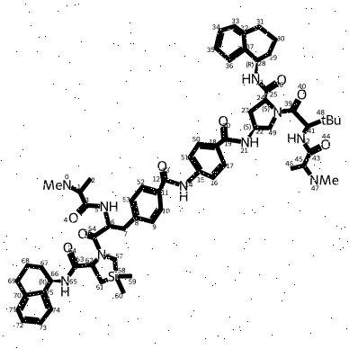 CNC(C)C(=O)NC(Cc1ccc(C(=O)Nc2ccc(C(=O)N[C@H]3C[C@@H](C(=O)N[C@@H]4CCCc5ccccc54)N(C(=O)C(NC(=O)C(C)NC)C(C)(C)C)C3)cc2)cc1)C(=O)N1C[Si](C)(C)CC1C(=O)N[C@@H]1CCCc2ccccc21